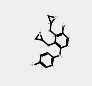 Nc1ccc(Oc2ccc(C(F)(F)F)cc2)c(CC2CO2)c1CC1CO1